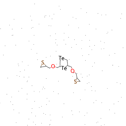 C(OCC1C[Te]CC(COCC2CS2)[Te]1)C1CS1